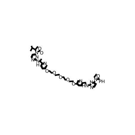 CC(Nc1nccc(N2C(=O)OCC2C(C)C)n1)c1ccc(OCCOCCOCCOCCOc2ccc(CNc3nccc(N4CCOC4=P)n3)nc2)cn1